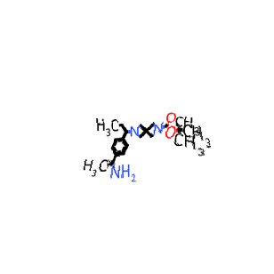 CCC(c1ccc([C@H](C)N)cc1)N1CC2(CN(C(=O)OC(C)(C)C)C2)C1